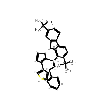 CC(C)(C)c1ccc2c(c1)Cc1c-2ccc(C(C)(C)C)[c]1[Zr](=[CH]Cc1ccccc1)[C]1=C(c2ccsc2)C=CC1